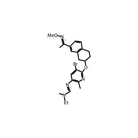 CCN(C)/C=N/c1cc(Br)c(OC2CCc3ccc(/C(C)=N/OC)cc3C2)nc1C